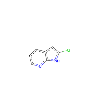 Clc1cc2[c]ccnc2[nH]1